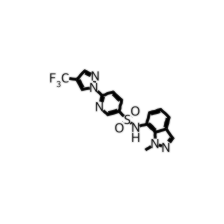 Cn1ncc2cccc(NS(=O)(=O)c3ccc(-n4cc(C(F)(F)F)cn4)nc3)c21